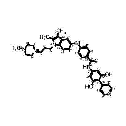 Cc1c(C)n(CCCN2CCN(C)CC2)c2ccc(Nc3ccc(C(=O)Nc4cc(O)c(-c5ccncc5)c(O)c4)cc3)cc12